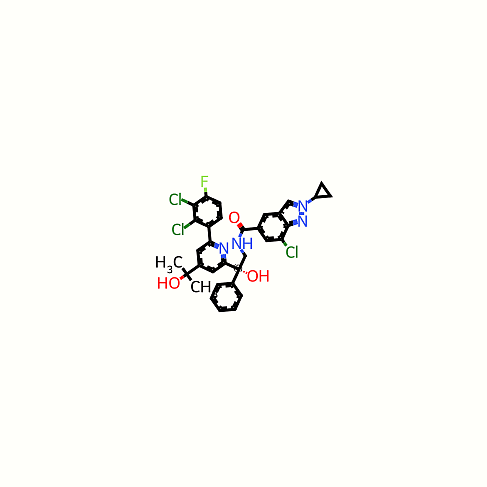 CC(C)(O)c1cc(-c2ccc(F)c(Cl)c2Cl)nc([C@@](O)(CNC(=O)c2cc(Cl)c3nn(C4CC4)cc3c2)c2ccccc2)c1